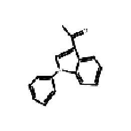 CC(=O)c1cn(-c2ccccc2)c2c[c]ccc12